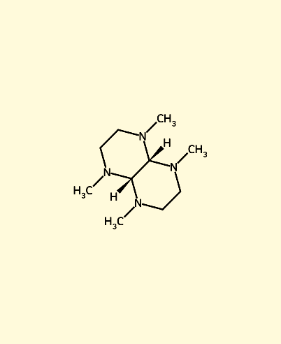 CN1CCN(C)[C@H]2[C@@H]1N(C)CCN2C